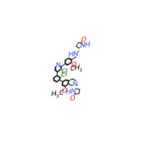 COc1cc(-c2nccc(-c3cccc(-c4cc5c(c(OC)c4)CN(C[C@@H]4CCC(=O)N4)CC5)c3Cl)c2Cl)ccc1CNC[C@@H]1CCC(=O)N1